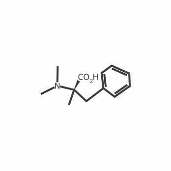 CN(C)[C@@](C)(Cc1ccccc1)C(=O)O